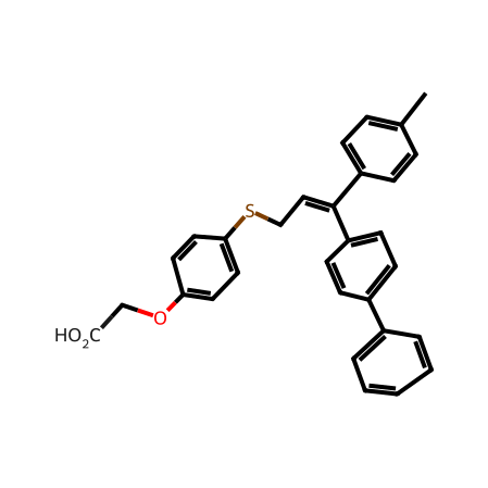 Cc1ccc(C(=CCSc2ccc(OCC(=O)O)cc2)c2ccc(-c3ccccc3)cc2)cc1